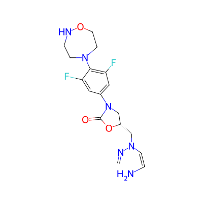 C=NN(/C=C\N)C[C@H]1CN(c2cc(F)c(N3CCNOCC3)c(F)c2)C(=O)O1